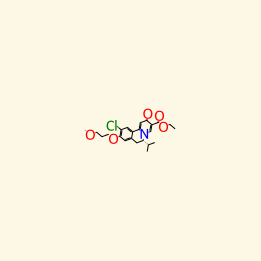 CCOC(=O)c1cn2c(cc1=O)-c1cc(Cl)c(OCCCOC)cc1C[C@H]2C(C)C